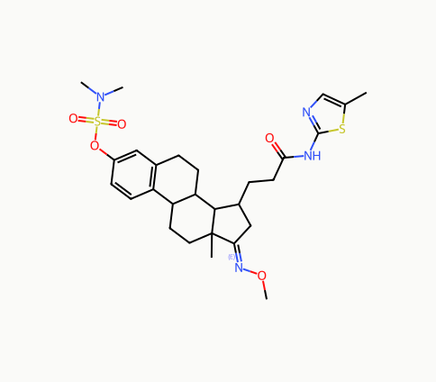 CO/N=C1\CC(CCC(=O)Nc2ncc(C)s2)C2C3CCc4cc(OS(=O)(=O)N(C)C)ccc4C3CCC12C